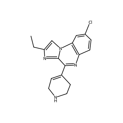 CCc1cn2c(n1)c(C1=CCNCC1)nc1ccc(Cl)cc12